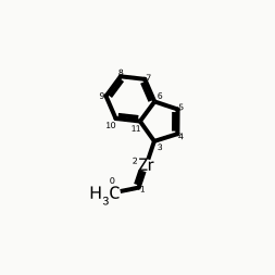 C[CH]=[Zr][CH]1C=Cc2ccccc21